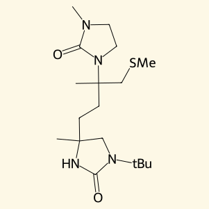 CSCC(C)(CCC1(C)CN(C(C)(C)C)C(=O)N1)N1CCN(C)C1=O